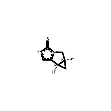 S=c1[nH]cc2n1C[C@H]1C[C@@H]21